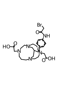 O=C(O)CN1CCCN2CCN(CC(=O)O)CCCN(CC1)CC(Cc1ccc(NC(=O)CBr)cc1)C2